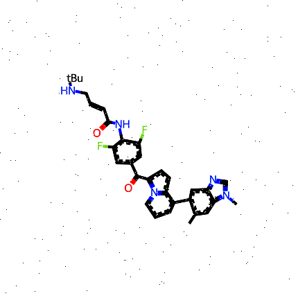 Cc1cc2c(cc1-c1cccn3c(C(=O)c4cc(F)c(NC(=O)/C=C/CNC(C)(C)C)c(F)c4)ccc13)ncn2C